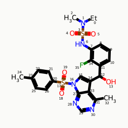 CCN(C)S(=O)(=O)Nc1cccc(C(O)c2cn(S(=O)(=O)c3ccc(C)cc3)c3ncnc(C)c23)c1F